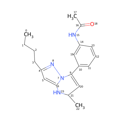 CCCCc1cc2n(n1)C(c1cccc(NC(C)=O)c1)=CC(C)N2